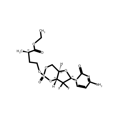 CCOC(=O)[C@H](C)CCOP1(=O)OC[C@H]2O[C@@H](n3ccc(N)nc3=O)C(F)(F)[C@@H]2O1